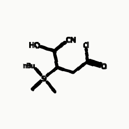 CCCC[Si](C)(C)C(CC(=O)Cl)C(O)C#N